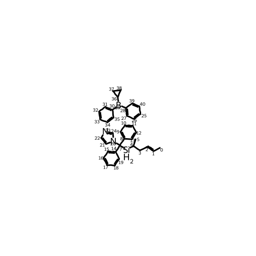 CC=CCC(C)[SiH2]C(c1ccccc1)(c1ccccc1)n1ccnc1.c1ccc(B(c2ccccc2)C2CC2)cc1